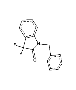 O=C1N(Cc2ccccc2)c2ccccc2C1(F)F